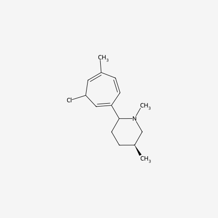 CC1=CC(Cl)C=C(C2CC[C@H](C)CN2C)C=C1